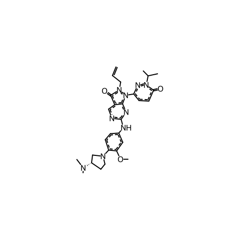 C=CCn1c(=O)c2cnc(Nc3ccc(N4CC[C@H](N(C)C)C4)c(OC)c3)nc2n1-c1ccc(=O)n(C(C)C)n1